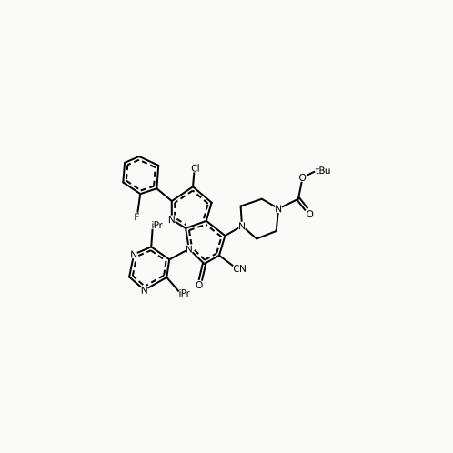 CC(C)c1ncnc(C(C)C)c1-n1c(=O)c(C#N)c(N2CCN(C(=O)OC(C)(C)C)CC2)c2cc(Cl)c(-c3ccccc3F)nc21